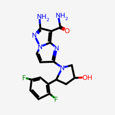 NC(=O)c1c(N)nn2ccc(N3CC(O)CC3c3cc(F)ccc3F)nc12